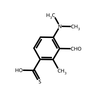 Cc1c(C(O)=S)ccc(N(C)C)c1C=O